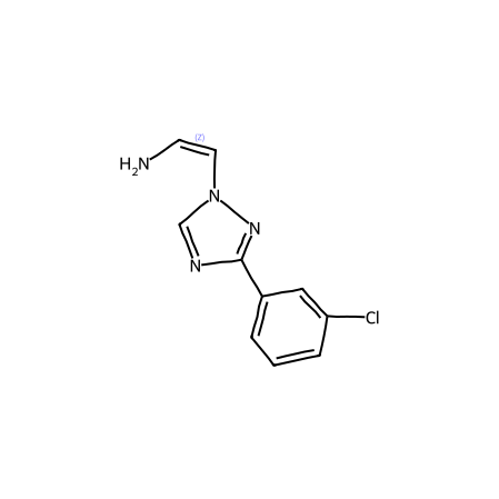 N/C=C\n1cnc(-c2cccc(Cl)c2)n1